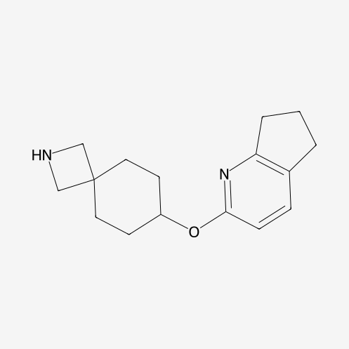 c1cc2c(nc1OC1CCC3(CC1)CNC3)CCC2